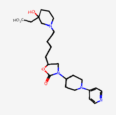 O=C(O)CC1(O)CCCN(CCCCC2CN(C3CCN(c4ccncc4)CC3)C(=O)O2)C1